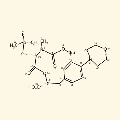 CN(C(=O)OC(C)(C)C)[C@@H](CC(C)(C)F)C(=O)O[C@H](Cc1ccc(N2CCOCC2)cc1)C(=O)O